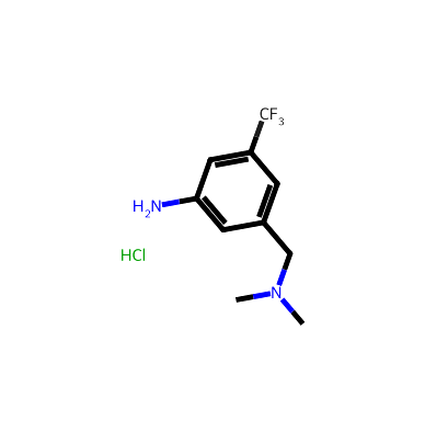 CN(C)Cc1cc(N)cc(C(F)(F)F)c1.Cl